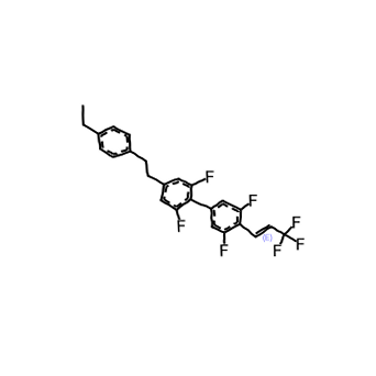 CCc1ccc(CCc2cc(F)c(-c3cc(F)c(/C=C/C(F)(F)F)c(F)c3)c(F)c2)cc1